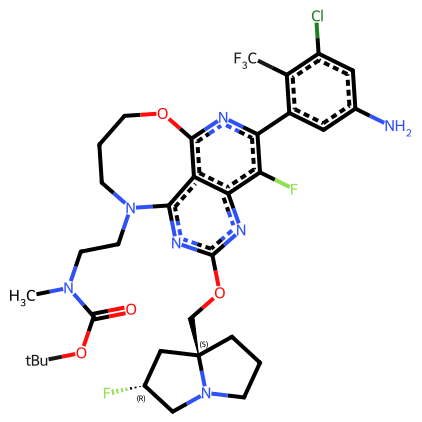 CN(CCN1CCCOc2nc(-c3cc(N)cc(Cl)c3C(F)(F)F)c(F)c3nc(OC[C@@]45CCCN4C[C@H](F)C5)nc1c23)C(=O)OC(C)(C)C